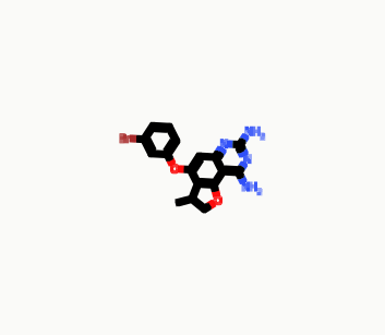 CC1COc2c1c(Oc1cccc(Br)c1)cc1nc(N)nc(N)c21